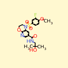 COc1ccc(S(=O)(=O)N2CCOc3ncc(C(=O)NCC(C)(C)O)cc32)cc1F